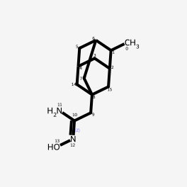 CC1C2CC3CC1CC(C/C(N)=N/O)(C3)C2